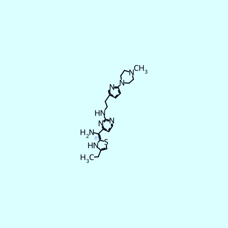 CCC1=CS/C(=C(/N)c2ccnc(NCCc3ccc(N4CCN(C)CC4)nc3)n2)N1